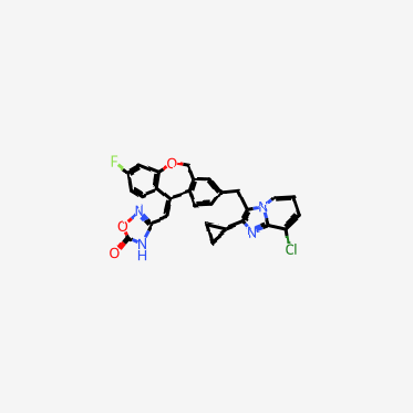 O=c1[nH]c(C=C2c3ccc(Cc4c(C5CC5)nc5c(Cl)cccn45)cc3COc3cc(F)ccc32)no1